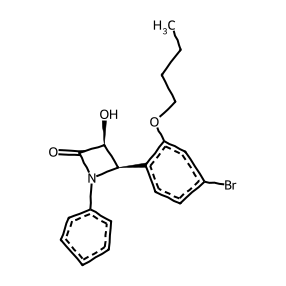 CCCCOc1cc(Br)ccc1[C@@H]1[C@H](O)C(=O)N1c1ccccc1